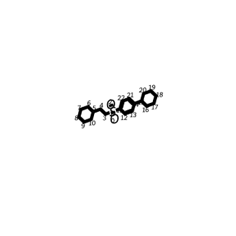 O=S(=O)(CCC1CCCCC1)c1ccc(C2CCCCC2)cc1